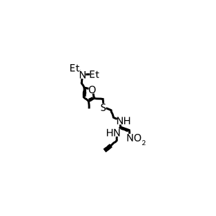 C#CCNC(=C[N+](=O)[O-])NCCSCc1oc(CN(CC)CC)cc1C